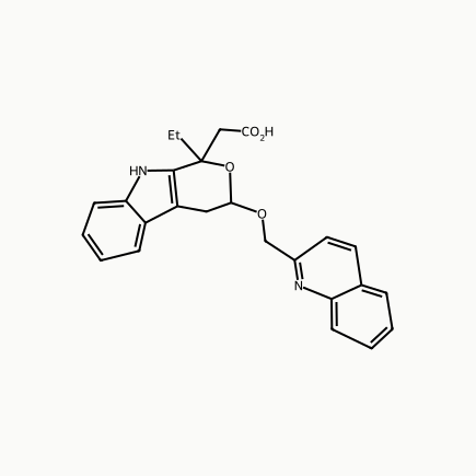 CCC1(CC(=O)O)OC(OCc2ccc3ccccc3n2)Cc2c1[nH]c1ccccc21